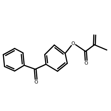 C=C(C)C(=O)Oc1ccc(C(=O)c2ccccc2)cc1